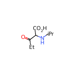 CCC(=O)C(NC(C)C)C(=O)O